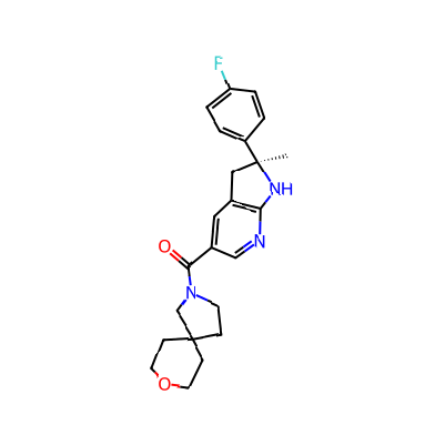 C[C@@]1(c2ccc(F)cc2)Cc2cc(C(=O)N3CCC4(CCOCC4)C3)cnc2N1